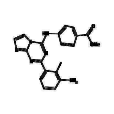 COC(=O)c1ccc(Nc2nc(-c3cccc(N)c3C)nc3nccn23)cc1